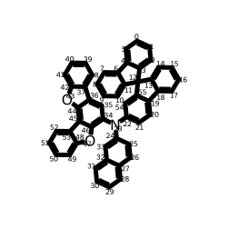 c1ccc2c(c1)-c1ccccc1C21c2ccccc2-c2ccc(N(c3ccc4ccccc4c3)c3cc4c5ccccc5oc4c4c3oc3ccccc34)cc21